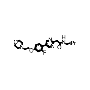 CC(C)CNC(=O)Cc1ncc(-c2ccc(OCCN3CCOCC3)cc2F)cn1